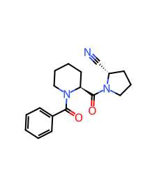 N#C[C@@H]1CCCN1C(=O)[C@@H]1CCCCN1C(=O)c1ccccc1